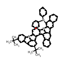 CC(C)(C)c1ccc2c(c1)c1cc(C(C)(C)C)cc3c4c5c6c7ccccc7cc7c8cc9ccccc9c(N(c9ccccc9)c9ccccc9)c8n(c5ncc4n2c13)c76